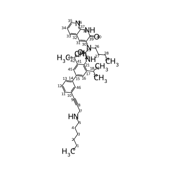 CCCCCCNCC#Cc1cccc(-c2cc(C(C)C)c(NC(=O)N(CCCC)c3cc4cccnc4[nH]c3=O)c(C(C)C)c2)c1